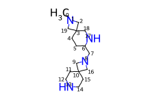 CN1CC2(CCC(CN3CC4(CCNCC4)C3)NC2)C1